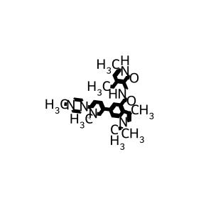 CCc1cc(C)[nH]c(=O)c1CNC(=O)c1cc(C2=CC=C(N3CCN(C)CC3)N(C)C2)cc2c1c(C)cn2C(C)C